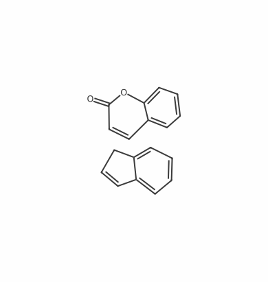 C1=Cc2ccccc2C1.O=c1ccc2ccccc2o1